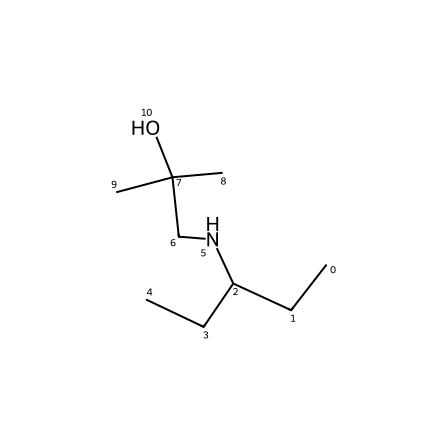 CCC(CC)NCC(C)(C)O